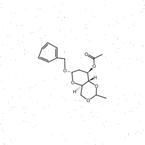 CC(=O)O[C@@H]1C[C@@H](OCc2ccccc2)O[C@@H]2COC(C)O[C@@H]12